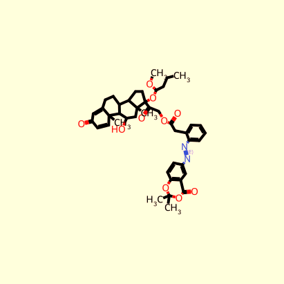 CCCC(OC)OC1(C(=O)COC(=O)Cc2ccccc2/N=N/c2ccc3c(c2)C(=O)OC(C)(C)O3)CCC2C3CCC4=CC(=O)C=CC4(C)C3C(O)CC21C